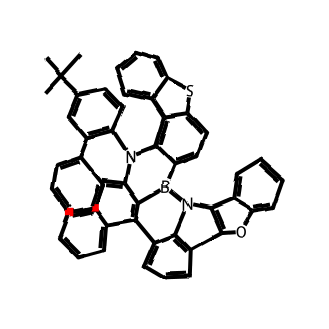 CC(C)(C)c1ccc(N2c3cc4ccccc4c4c3B(c3ccc5sc6ccccc6c5c32)n2c3c-4cccc3c3oc4ccccc4c32)c(-c2ccccc2)c1